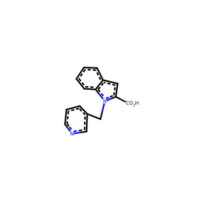 O=C(O)c1cc2ccccc2n1Cc1cccnc1